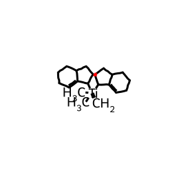 [CH2]=[Ti]([CH3])([CH3])([CH]1CCC2CCCC=C21)[CH]1CCC2CCCC=C21